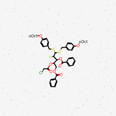 CCCCCCCCOc1ccc(CSC(SCc2ccc(OCCCCCCCC)cc2)C(F)C(OC(=O)c2ccccc2)C(COC(=O)c2ccccc2)OC(=O)CCl)cc1